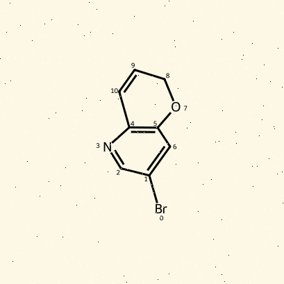 Brc1cnc2c(c1)OCC=C2